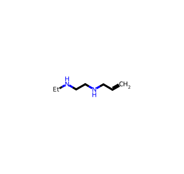 C=CCNCCNCC